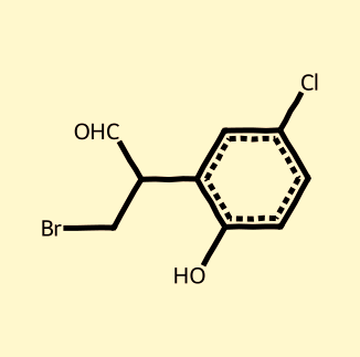 O=CC(CBr)c1cc(Cl)ccc1O